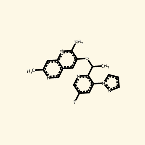 Cc1cc2nc(N)c(OC(C)c3ncc(F)cc3-n3cccn3)cc2cn1